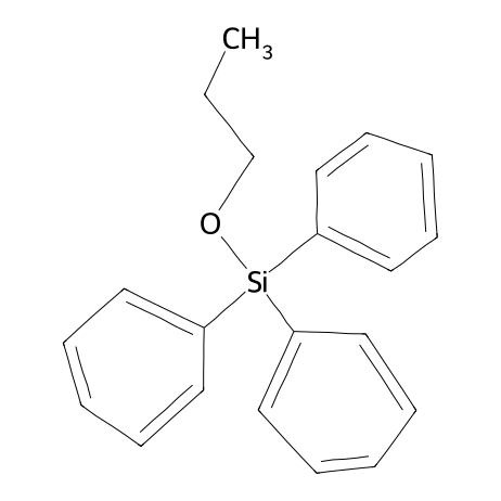 CCCO[Si](c1ccccc1)(c1ccccc1)c1ccccc1